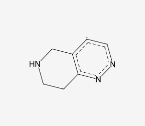 [c]1cnnc2c1CNCC2